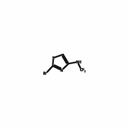 FC(F)(F)Nc1csc(Br)n1